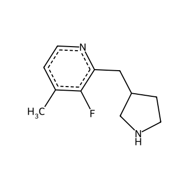 Cc1ccnc(CC2CCNC2)c1F